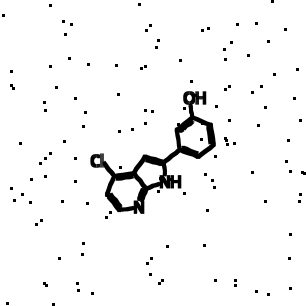 Oc1cccc(-c2cc3c(Cl)ccnc3[nH]2)c1